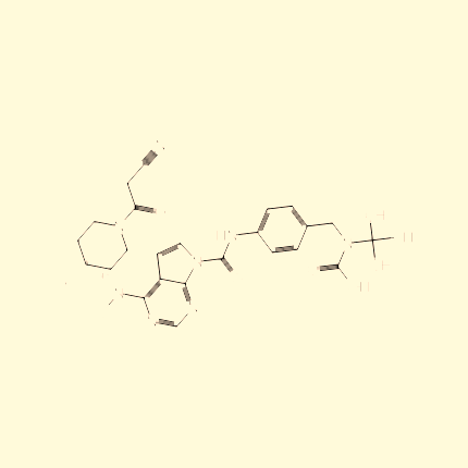 C[C@@H]1CCN(C(=O)CC#N)C[C@@H]1N(C)c1ncnc2c1ccn2C(=O)Nc1ccc(CN(C(=O)O)C(C)(C)C)cc1